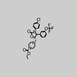 CCOC(=O)N1CCN(C[C@@H]2OC(=O)N(c3ccc(Cl)cc3)[C@H]2c2cccc(OC(F)(F)F)c2)CC1